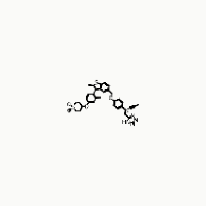 CC#C[C@@H](Cc1nnn[nH]1)c1ccc(OCc2ccc3sc(C)c(-c4ccc(OC5CCS(=O)(=O)CC5)cc4C)c3c2)cc1